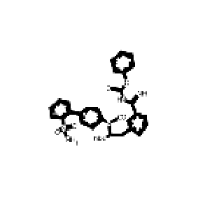 CCCCC(Cc1cccc(C(=N)NC(=O)Oc2ccccc2)c1)N(C(=O)O)c1ccc(-c2ccccc2S(N)(=O)=O)cc1